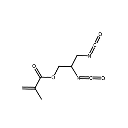 C=C(C)C(=O)OCC(CN=C=O)N=C=O